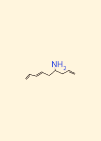 C=CC=CCC(N)CC=C